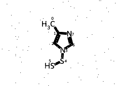 Cc1cn(SS)cn1